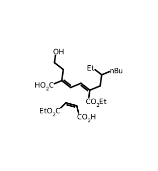 CCCCC(CC)CC(=CC=C(CCO)C(=O)O)C(=O)OCC.CCOC(=O)/C=C\C(=O)O